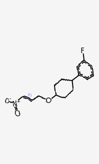 O=[N+]([O-])/C=C/COC1CCC(c2cccc(F)c2)CC1